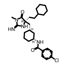 CN1C(=N)N[C@](CCC2CCCCC2)(C[C@H]2CCC[C@@H](NC(=O)c3ccc(Cl)cc3)C2)C1=O